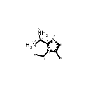 CCn1c(C)cnc1C(N)N